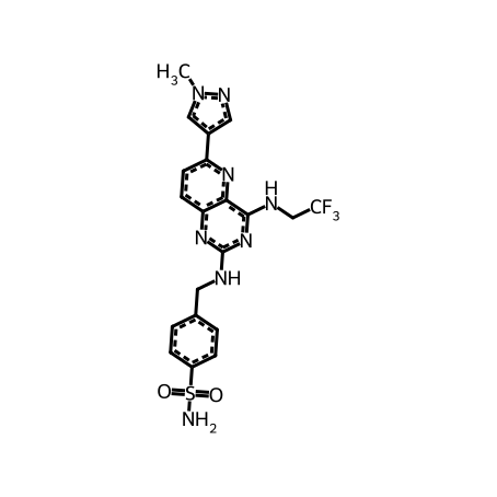 Cn1cc(-c2ccc3nc(NCc4ccc(S(N)(=O)=O)cc4)nc(NCC(F)(F)F)c3n2)cn1